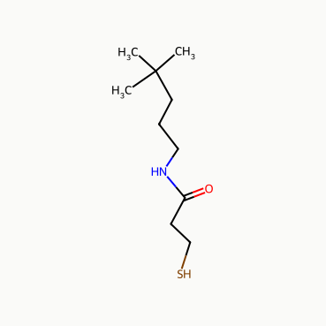 CC(C)(C)CCCNC(=O)CCS